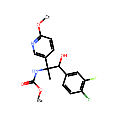 CCOc1ccc(C(C)(NC(=O)OC(C)(C)C)C(O)c2ccc(Cl)c(F)c2)cn1